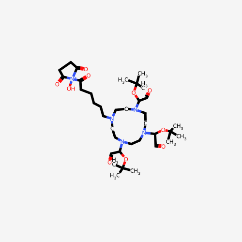 CC(C)(C)OC(C=O)N1CCN(CCCCCC(=O)[N+]2(O)C(=O)CCC2=O)CCN(C(C=O)OC(C)(C)C)CCN(C(C=O)OC(C)(C)C)CC1